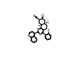 C[C@H]1C(=O)C(C#N)C[C@@]2(C)c3nc(-c4ccnc5ccccc45)nc(-c4ccccc4F)c3CC[C@H]12